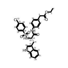 CCOC(=O)Cc1ccc(NC(=O)[C@H](Cc2c[nH]c3ccccc23)NS(=O)(=O)c2ccc(Cl)cc2)cc1